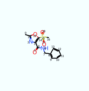 Cc1nc(C(=O)NCc2ccccc2)c(S(C)(=O)=O)o1